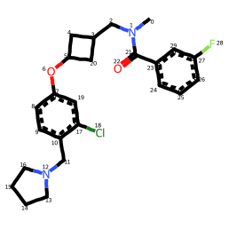 CN(CC1CC(Oc2ccc(CN3CCCC3)c(Cl)c2)C1)C(=O)c1cccc(F)c1